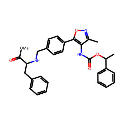 COC(=O)C(Cc1ccccc1)NCc1ccc(-c2onc(C)c2NC(=O)OC(C)c2ccccc2)cc1